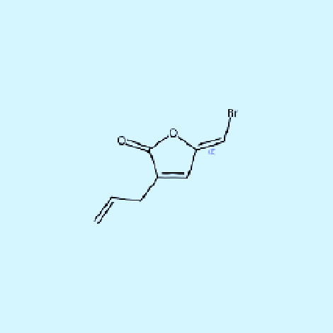 C=CCC1=C/C(=C/Br)OC1=O